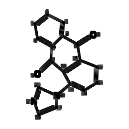 O=C1c2ccccc2C(=O)c2c1cccc2-n1ccnc1